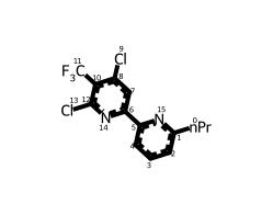 CCCc1cccc(-c2cc(Cl)c(C(F)(F)F)c(Cl)n2)n1